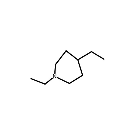 CCC1CCN(CC)CC1